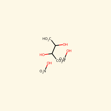 O=C(O)C(O)C(O)C(=O)O.O=[N+]([O-])O.O=[N+]([O-])O